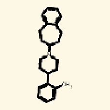 Cc1ccccc1C1CCN(C2CCc3ccccc3CC2)CC1